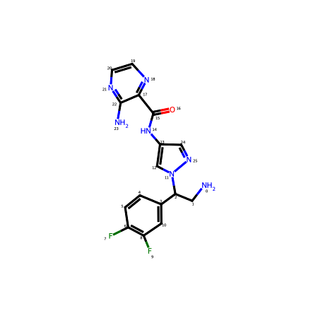 NCC(c1ccc(F)c(F)c1)n1cc(NC(=O)c2nccnc2N)cn1